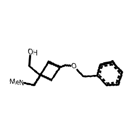 CNCC1(CO)CC(OCc2ccccc2)C1